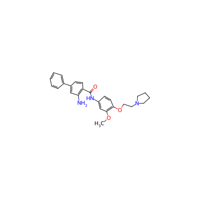 COc1cc(NC(=O)c2ccc(-c3ccccc3)cc2N)ccc1OCCN1CCCC1